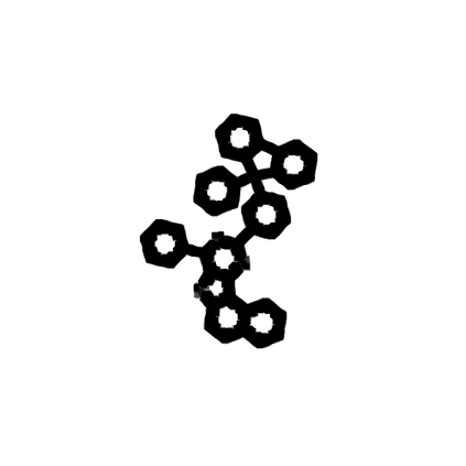 c1ccc(-c2nc(-c3cccc(C4(c5ccccc5)c5ccccc5-c5ccccc54)c3)nc3c2sc2ccc4ccccc4c23)cc1